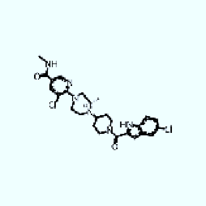 CNC(=O)c1cnc(N2CCN(C3CCN(C(=O)c4cc5cc(Cl)ccc5[nH]4)CC3)[C@@H](C)C2)c(Cl)c1